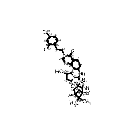 C[C@@H]1[C@@H](/N=C(/Nc2ccc3c(=O)n(CCc4ccc(Cl)cc4Cl)cnc3c2)N2C[C@H](O)C[C@@H]2C)C[C@@H]2C[C@H]1C2(C)C